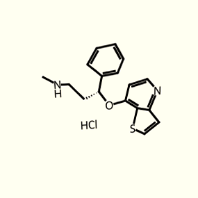 CNCC[C@@H](Oc1ccnc2ccsc12)c1ccccc1.Cl